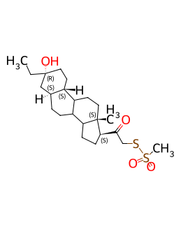 CC[C@@]1(O)CC[C@@H]2C3CC[C@@]4(C)C(CC[C@@H]4C(=O)CSS(C)(=O)=O)C3CC[C@H]2C1